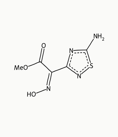 COC(=O)/C(=N\O)c1nsc(N)n1